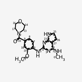 CNc1nc(Nc2ccc(C(=O)N3CCOCC3)cc2OC)nc2[nH]ccc12